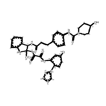 O=C(CCc1ccc(NC(=O)N2CCC(O)CC2)cc1)NC1c2ccccc2NC1(NC(=O)C(=O)Nc1cc(Cl)ccc1-n1cnnn1)C(=O)O